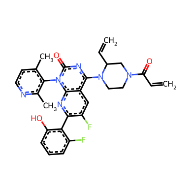 C=CC(=O)N1CCN(c2nc(=O)n(-c3c(C)ccnc3C)c3nc(-c4c(O)cccc4F)c(F)cc23)C(C=C)C1